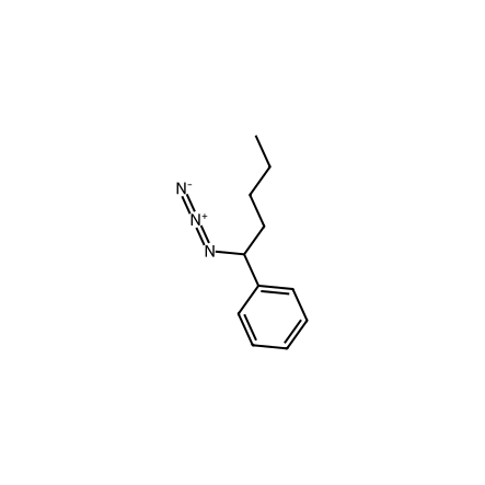 CCCCC(N=[N+]=[N-])c1ccccc1